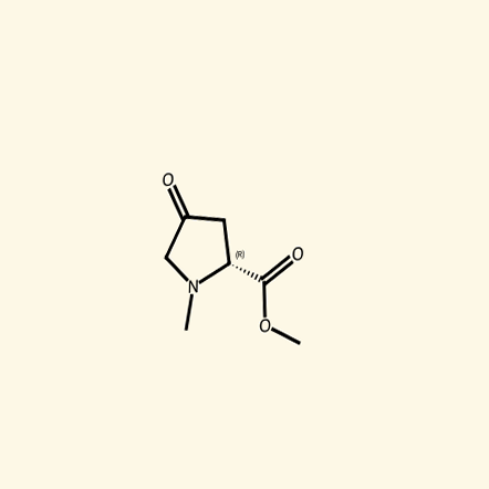 COC(=O)[C@H]1CC(=O)CN1C